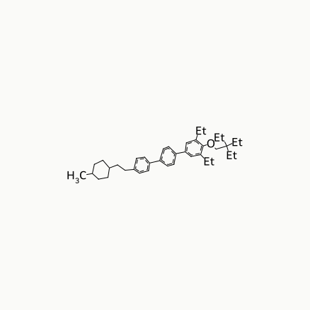 CCc1cc(-c2ccc(-c3ccc(CCC4CCC(C)CC4)cc3)cc2)cc(CC)c1OCC(CC)(CC)CC